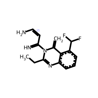 C=C1c2c(cccc2C(F)F)N=C(CC)N1C(=N)/C=C\N